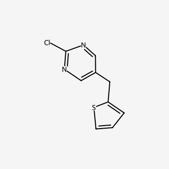 Clc1ncc(Cc2cccs2)cn1